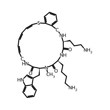 CN1C(=O)[C@H](CCCCN)NC(=O)[C@H](CCCN)NCc2ccccc2SC=CC=CC=CCNC(=O)[C@@H]1Cc1c[nH]c2ccccc12